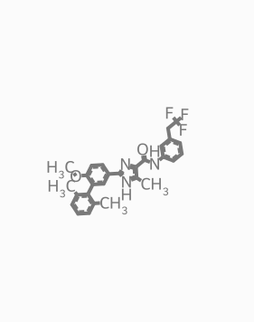 COc1ccc(-c2nc(C(=O)Nc3cccc(CC(F)(F)F)c3)c(C)[nH]2)cc1-c1c(C)cccc1C